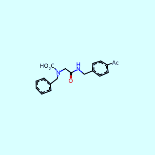 CC(=O)c1ccc(CNC(=O)CN(Cc2ccccc2)C(=O)O)cc1